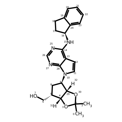 CC1(C)O[C@@H]2[C@H](CO)C[C@@H](n3ccc4c(N[C@H]5CCc6ccccc65)ncnc43)[C@@H]2O1